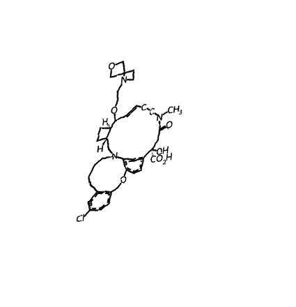 CN1CC/C=C/[C@H](OCCN2CCC23COC3)[C@@H]2CC[C@H]2CN2CCCCc3cc(Cl)ccc3COc3ccc(cc32)[C@@](O)(C(=O)O)CC1=O